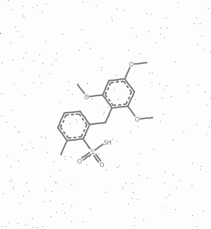 COc1cc(OC)c(Cc2cccc(C)c2S(=O)(=O)S)c(OC)c1